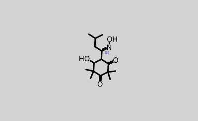 CC(C)C/C(=N\O)C1C(=O)C(C)(C)C(=O)C(C)(C)C1O